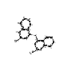 Clc1cc([C]c2cc(Cl)cc3ccccc23)c2ccccc2c1